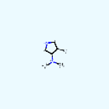 CC[C@@H]1CNC[C@@H]1N(C)C